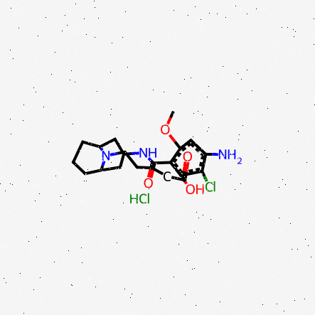 COc1cc(N)c(Cl)cc1C(=O)NC1CC2CCCC(C1)N2CCCCC(=O)O.Cl